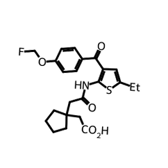 CCc1cc(C(=O)c2ccc(OCF)cc2)c(NC(=O)CC2(CC(=O)O)CCCC2)s1